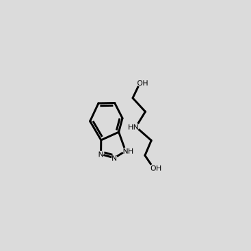 OCCNCCO.c1ccc2[nH]nnc2c1